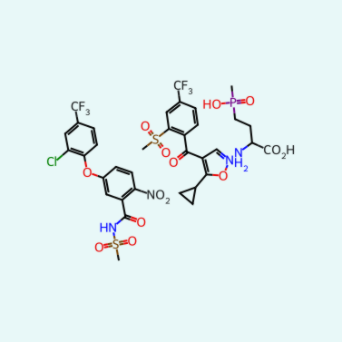 CP(=O)(O)CCC(N)C(=O)O.CS(=O)(=O)NC(=O)c1cc(Oc2ccc(C(F)(F)F)cc2Cl)ccc1[N+](=O)[O-].CS(=O)(=O)c1cc(C(F)(F)F)ccc1C(=O)c1cnoc1C1CC1